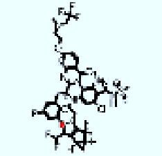 CN(CCOc1ccc2c(=O)n(-c3ccc(Cl)c4c(NS(C)(=O)=O)nn(C)c34)c([C@H](Cc3cc(F)cc(F)c3)NC(=O)Cn3nc(C(F)F)c4c3C(F)(F)[C@@H]3C[C@H]43)nc2n1)CC(F)(F)F